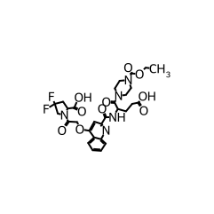 CCOC(=O)N1CCN(C(=O)C(CCC(=O)O)NC(=O)c2cc(OCC(=O)N3CC(F)(F)CC3C(=O)O)c3ccccc3n2)CC1